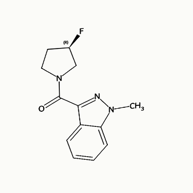 Cn1nc(C(=O)N2CC[C@@H](F)C2)c2ccccc21